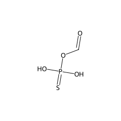 O=COP(O)(O)=S